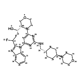 OC[C@@H]1COCCN1c1cc(-n2c(C(F)F)nc3ccccc32)nc(NC[C@H]2CC[C@H](N3CCOCC3)CC2)n1